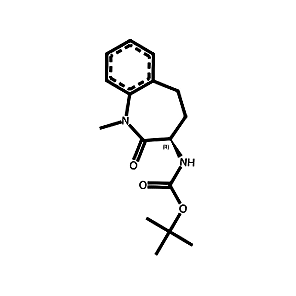 CN1C(=O)[C@H](NC(=O)OC(C)(C)C)CCc2ccccc21